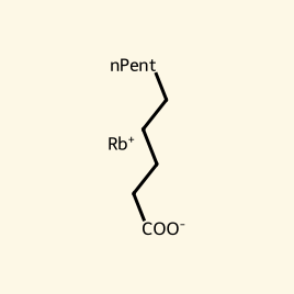 CCCCCCCCCC(=O)[O-].[Rb+]